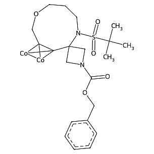 CC(C)(C)S(=O)(=O)N1CCCOC[C]23[Co]4[Co]2[C]43C12CN(C(=O)OCc1ccccc1)C2